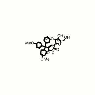 COc1ccc(C(c2ccccc2)(c2ccc(OC)cc2)c2cn([C@@H]3O[C@H](CO)[C@@H](O)[C@H]3OC)c(=O)[nH]c2=O)cc1